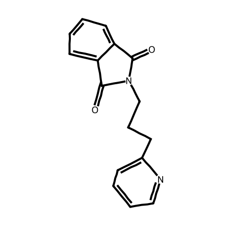 O=C1c2ccccc2C(=O)N1CCCc1ccccn1